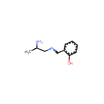 CC(N)CN=Cc1ccccc1O